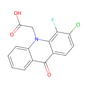 O=C(O)Cn1c2ccccc2c(=O)c2ccc(Cl)c(F)c21